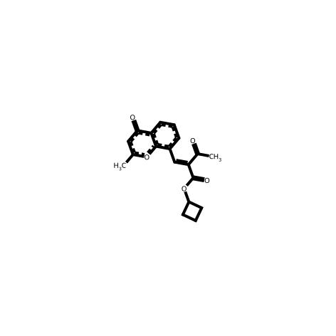 CC(=O)/C(=C\c1cccc2c(=O)cc(C)oc12)C(=O)OC1CCC1